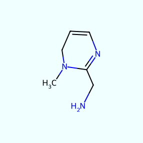 CN1CC=CN=C1CN